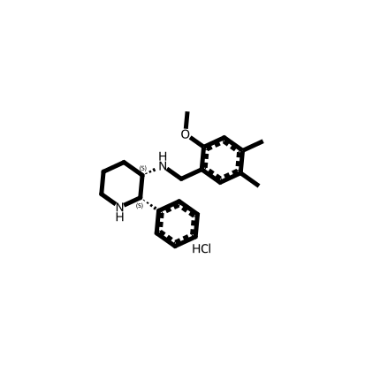 COc1cc(C)c(C)cc1CN[C@H]1CCCN[C@H]1c1ccccc1.Cl